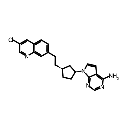 Nc1ncnc2c1ccn2[C@H]1CC[C@@H](CCc2ccc3cc(Cl)cnc3c2)C1